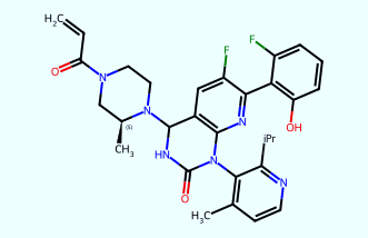 C=CC(=O)N1CCN(C2NC(=O)N(c3c(C)ccnc3C(C)C)c3nc(-c4c(O)cccc4F)c(F)cc32)[C@@H](C)C1